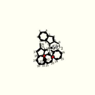 CC1=Cc2ccccc2[CH]1[Hf](=[SiH2])([c]1ccccc1)([c]1ccccc1)[CH]1C(C)=Cc2ccccc21